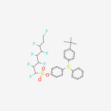 CC(C)(C)c1ccc([S+](c2ccccc2)c2ccccc2)cc1.O=S(=O)([O-])C(F)C(F)C(F)C(F)C(F)C(F)CCF